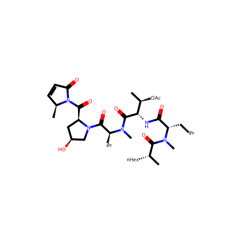 CCCCCC[C@@H](C)C(=O)N(C)[C@@H](CC(C)C)C(=O)N[C@H](C(=O)N(C)[C@H](C(=O)N1C[C@@H](O)C[C@H]1C(=O)N1C(=O)C=C[C@@H]1C)C(C)C)[C@@H](C)OC(C)=O